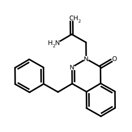 C=C(N)Cn1nc(Cc2ccccc2)c2ccccc2c1=O